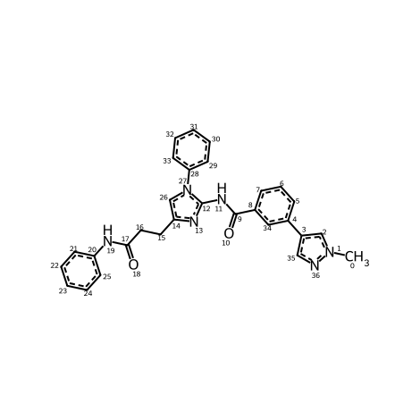 Cn1cc(-c2cccc(C(=O)Nc3nc(CCC(=O)Nc4ccccc4)cn3-c3ccccc3)c2)cn1